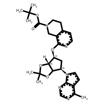 Cc1ncnc2c1ccn2[C@@H]1C[C@H](Oc2nccc3c2CN(C(=O)OC(C)(C)C)CC3)[C@H]2OC(C)(C)OC12